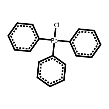 [Cl][Pb]([c]1ccccc1)([c]1ccccc1)[c]1ccccc1